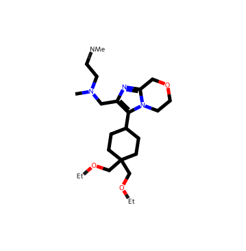 CCOCC1(COCC)CCC(c2c(CN(C)CCNC)nc3n2CCOC3)CC1